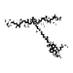 CCCCc1nc2c(N)nc3ccccc3c2n1Cc1ccc(C(=O)NCCCNCCCCNCCCNCCC(CCC(C)CCCC(C)CCCC(C)CCCC(C)C)(CCC(C)CCCC(C)CCCC(C)CCCC(C)C)P(=O)(O)O)cc1